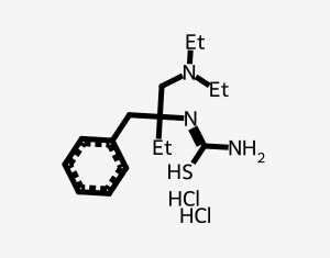 CCN(CC)CC(CC)(Cc1ccccc1)N=C(N)S.Cl.Cl